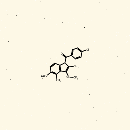 COc1ccc2c(c1C)c([Se]C(F)(F)F)c(C)n2C(=O)c1ccc(Cl)cc1